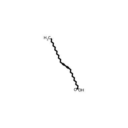 CCCCCCCCCCCCCC#CC#CCCCCCCCCCC(=O)O